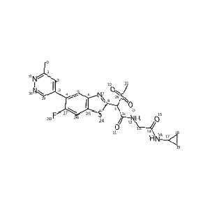 Cc1cc(-c2cc3nc(C(C(=O)NCC(=O)NC4CC4)S(C)(=O)=O)sc3cc2F)cnn1